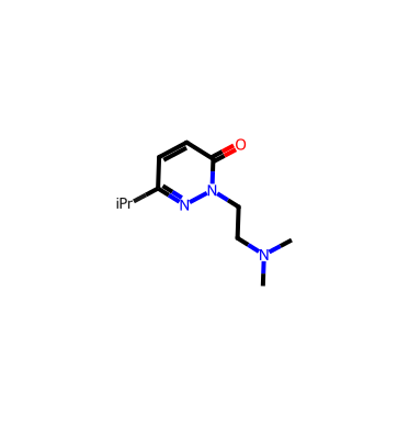 CC(C)c1ccc(=O)n(CCN(C)C)n1